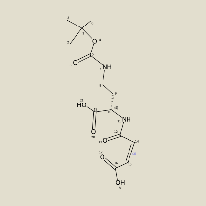 CC(C)(C)OC(=O)NCC[C@H](NC(=O)/C=C\C(=O)O)C(=O)O